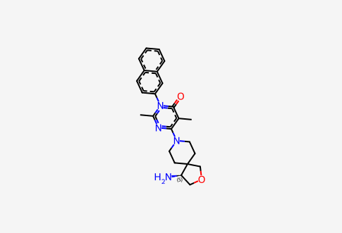 Cc1c(N2CCC3(CC2)COC[C@H]3N)nc(C)n(-c2ccc3ccccc3c2)c1=O